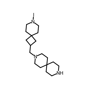 IN1CCC2(CC1)CC(CN1CCC3(CCNCC3)CC1)C2